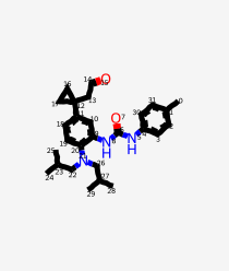 Cc1ccc(NC(=O)Nc2cc(C3(CC=O)CC3)ccc2N(CC(C)C)CC(C)C)cc1